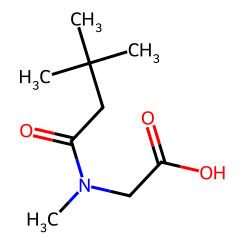 CN(CC(=O)O)C(=O)CC(C)(C)C